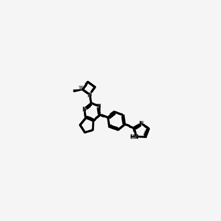 C[C@H]1CCN1c1nc2c(c(-c3ccc(-c4ncc[nH]4)cc3)n1)CCC2